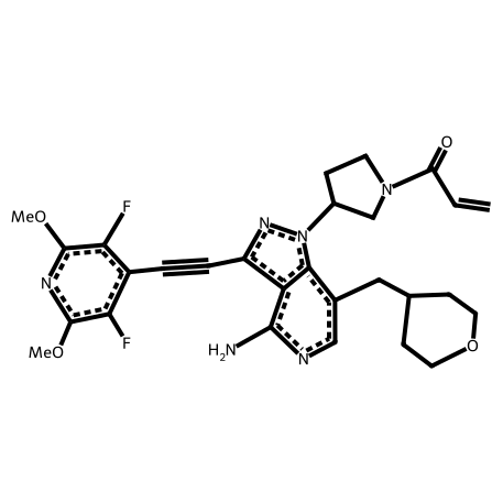 C=CC(=O)N1CCC(n2nc(C#Cc3c(F)c(OC)nc(OC)c3F)c3c(N)ncc(CC4CCOCC4)c32)C1